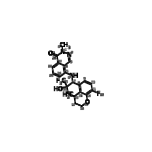 Cn1ncc2c(NC3c4ccc(F)c5c4C(C)(CCO5)CC3(O)C(F)(F)F)cccc2c1=O